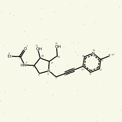 CCC(=O)NC1CN(CC#Cc2ccc(F)nc2)C(CO)C1O